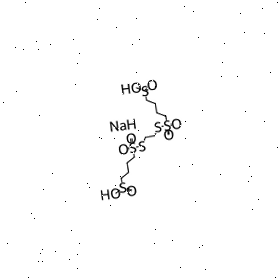 O=S(O)CCCCS(=O)(=O)SCCSS(=O)(=O)CCCCS(=O)O.[NaH]